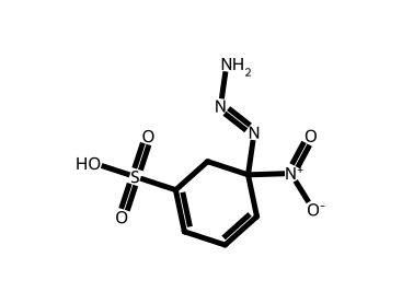 NN=NC1([N+](=O)[O-])C=CC=C(S(=O)(=O)O)C1